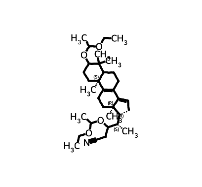 CCOC(C)OC(CC#N)[C@@H](C)[C@H]1CC=C2C3=C(CC[C@@]21C)[C@@]1(C)CCC(OC(C)OCC)C(C)(C)C1CC3